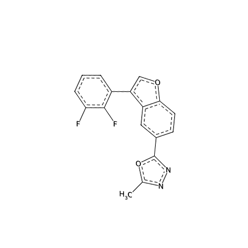 Cc1nnc(-c2ccc3occ(-c4cccc(F)c4F)c3c2)o1